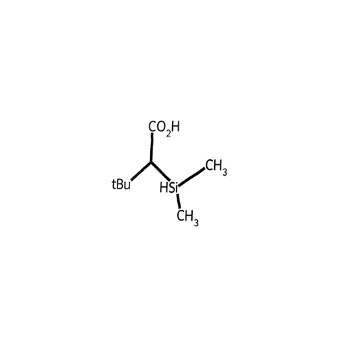 C[SiH](C)C(C(=O)O)C(C)(C)C